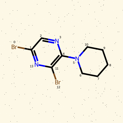 Brc1cnc(N2CCCCC2)c(Br)n1